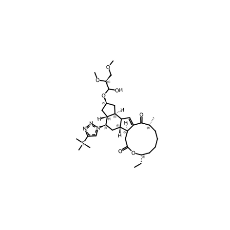 CC[C@H]1CCCC[C@@H](C)C(=O)C2=CC3[C@@H](C[C@@H](n4cc(S(C)(C)C)nn4)[C@@H]4C[C@@H](OC(O)[C@H](COC)OC)C[C@@H]34)[C@@H]2CC(=O)O1